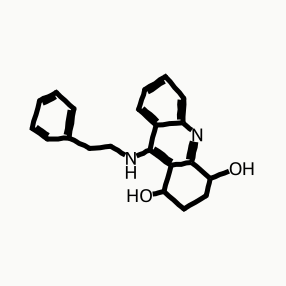 OC1CCC(O)c2c1nc1ccccc1c2NCCc1ccccc1